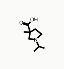 CC(C)N1CCC(C)(C(=O)O)C1